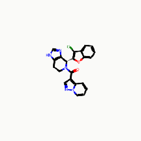 O=C(c1cnn2ccccc12)N1CCc2[nH]cnc2[C@@H]1c1oc2ccccc2c1Cl